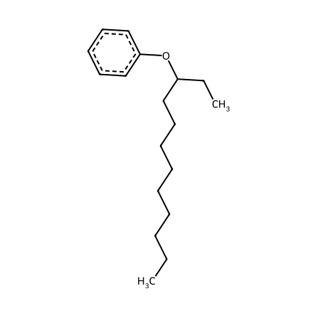 CCCCCCCCCC(CC)Oc1ccccc1